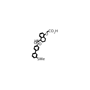 CSc1cccc(-c2ccc(S(=O)(=O)NC3CCCc4c(OCC(=O)O)cccc43)cc2)c1